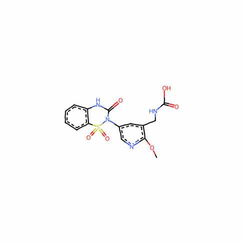 COc1ncc(N2C(=O)Nc3ccccc3S2(=O)=O)cc1CNC(=O)O